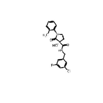 Cc1ccccc1N1CC[C@@](O)(C(=O)NCc2cc(F)cc(Cl)c2)C1=O